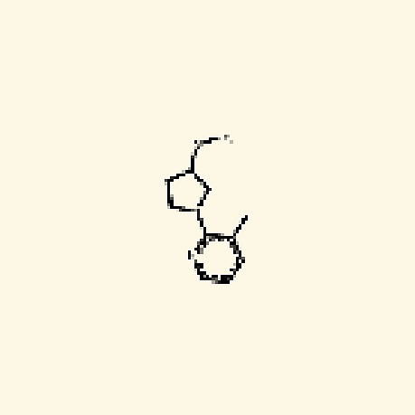 Cc1cccnc1N1CCC(OC(F)(F)F)C1